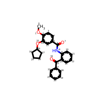 COc1ccc(C(=O)Nc2ccccc2C(=O)c2ccccc2)cc1OC1CCCC1